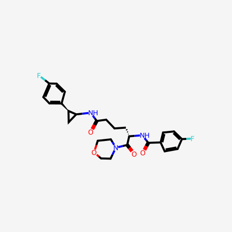 O=C(CCC[C@H](NC(=O)c1ccc(F)cc1)C(=O)N1CCOCC1)NC1C[C@H]1c1ccc(F)cc1